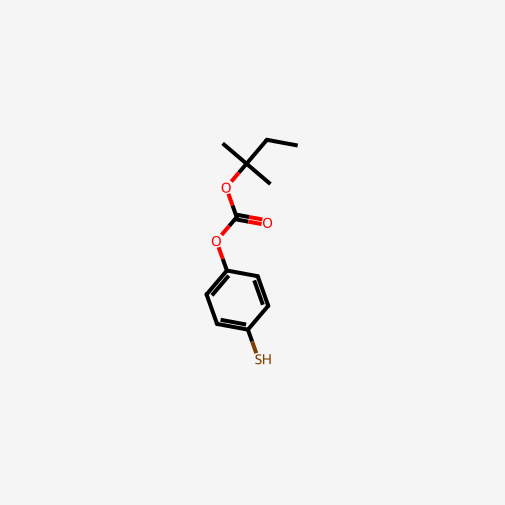 CCC(C)(C)OC(=O)Oc1ccc(S)cc1